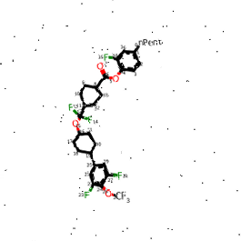 CCCCCc1ccc(OC(=O)C2CCC(C(F)(F)OC3CCC(c4cc(F)c(OC(F)(F)F)c(F)c4)CC3)CC2)c(F)c1